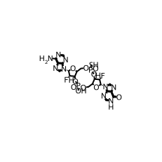 Nc1ncnc2c1ncn2[C@@H]1OC2COP(=O)(S)O[C@@H]3C(COP(=O)(O)O[C@H]2[C@H]1F)O[C@@H](n1cnc2c(=O)[nH]cnc21)[C@@H]3F